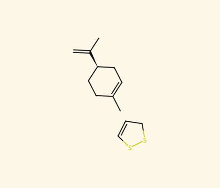 C1=CSSC1.C=C(C)[C@H]1CC=C(C)CC1